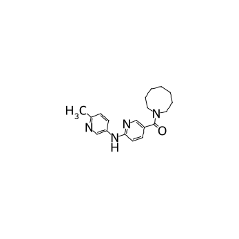 Cc1ccc(Nc2ccc(C(=O)N3CCCCCCC3)cn2)cn1